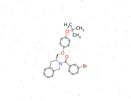 CC(C)(C)Oc1ccc(OC[C@@H]2Cc3ccccc3CN2C(=O)c2cccc(Br)c2)cc1